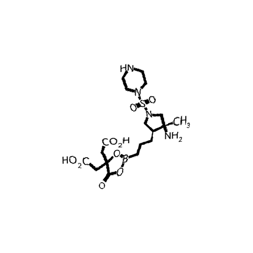 C[C@]1(N)CN(S(=O)(=O)N2CCNCC2)C[C@@H]1CCCB1OC(=O)C(CC(=O)O)(CC(=O)O)O1